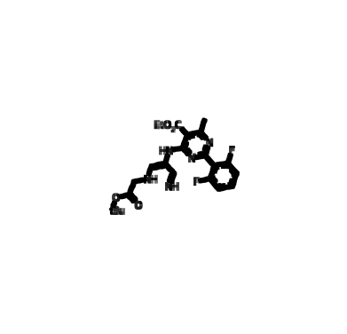 CCOC(=O)c1c(C)nc(-c2c(F)cccc2F)nc1N/C(C=N)=C/NCC(=O)OC(C)(C)C